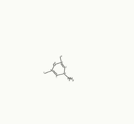 CC1=CC(N)C=C(C)O1